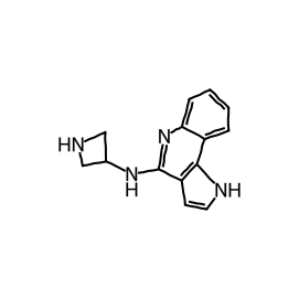 c1ccc2c(c1)nc(NC1CNC1)c1cc[nH]c12